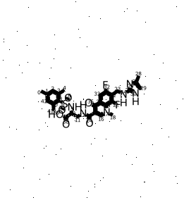 Cc1cc(C)c(S(=O)(=O)NC(CNC(=O)c2cn(C)c3c(F)c(CNc4nc(C)c[nH]4)c(F)cc3c2=O)C(=O)O)c(C)c1